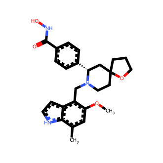 COc1cc(C)c2[nH]ccc2c1CN1CCC2(CCCO2)C[C@H]1c1ccc(C(=O)NO)cc1